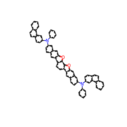 c1ccc(N(c2ccc3cc4c(cc3c2)oc2c4ccc3c4cc5ccc(N(c6ccccc6)c6ccc7ccc8ccccc8c7c6)cc5cc4oc32)c2ccc3ccc4ccccc4c3c2)cc1